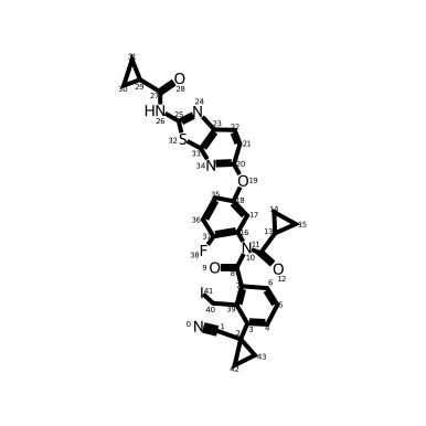 N#CC1(c2cccc(C(=O)N(C(=O)C3CC3)c3cc(Oc4ccc5nc(NC(=O)C6CC6)sc5n4)ccc3F)c2CI)CC1